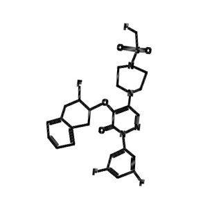 O=c1c(OC2Cc3ccccc3CC2F)c(N2CCN(S(=O)(=O)CF)CC2)cnn1-c1cc(F)cc(F)c1